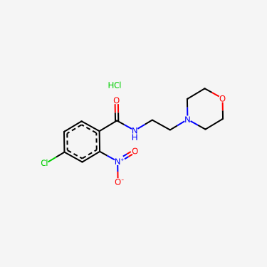 Cl.O=C(NCCN1CCOCC1)c1ccc(Cl)cc1[N+](=O)[O-]